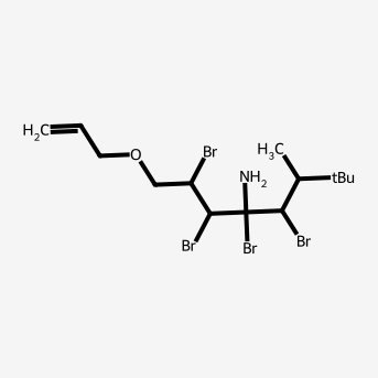 C=CCOCC(Br)C(Br)C(N)(Br)C(Br)C(C)C(C)(C)C